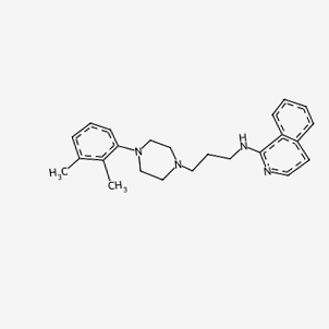 Cc1cccc(N2CCN(CCCNc3nccc4ccccc34)CC2)c1C